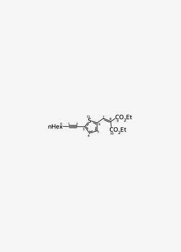 CCCCCCC#Cc1ccc(C=C(C(=O)OCC)C(=O)OCC)s1